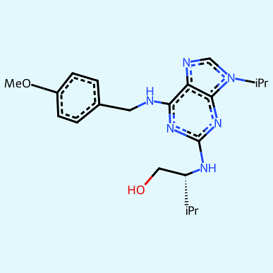 COc1ccc(CNc2nc(N[C@@H](CO)C(C)C)nc3c2ncn3C(C)C)cc1